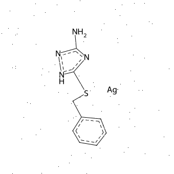 Nc1n[nH]c(SCc2ccccc2)n1.[Ag]